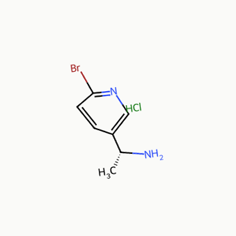 C[C@@H](N)c1ccc(Br)nc1.Cl